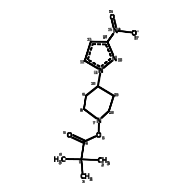 CC(C)(C)C(=O)ON1CCC(n2ccc([N+](=O)[O-])n2)CC1